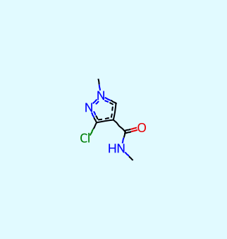 CNC(=O)c1cn(C)nc1Cl